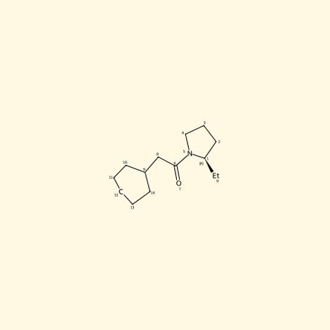 CC[C@@H]1CCCN1C(=O)CC1CCCCC1